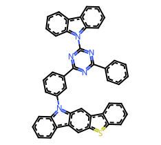 c1ccc(-c2nc(-c3cccc(-n4c5ccccc5c5cc6sc7ccccc7c6cc54)c3)nc(-n3c4ccccc4c4ccccc43)n2)cc1